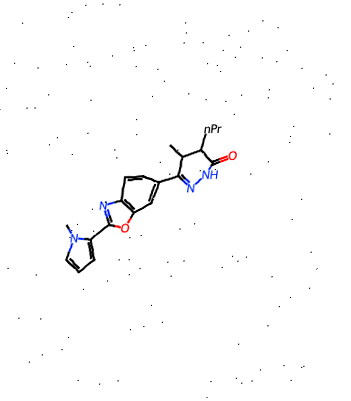 CCCC1C(=O)NN=C(c2ccc3nc(-c4cccn4C)oc3c2)C1C